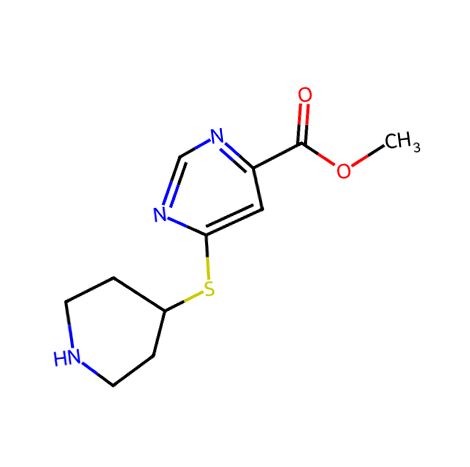 COC(=O)c1cc(SC2CCNCC2)ncn1